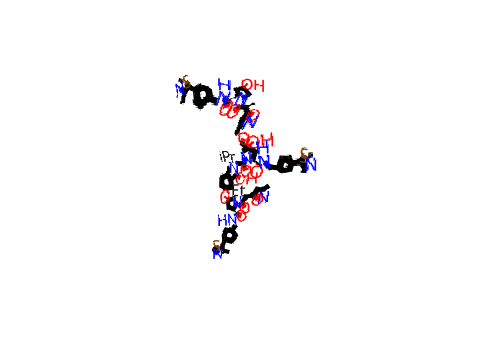 CC[C@@H](C(=O)N1C[C@H](Oc2ccc3c(c2)C(O)N([C@H](C(=O)N2C[C@](O)(COCc4cc([C@H](C)C(=O)N5C[C@H](O)C[C@H]5C(=O)NCc5ccc(-c6scnc6C)cc5)on4)C[C@H]2C(=O)NCc2ccc(-c4scnc4C)cc2)C(C)C)C3)C[C@H]1C(=O)NCc1ccc(-c2scnc2C)cc1)c1cc(C)no1